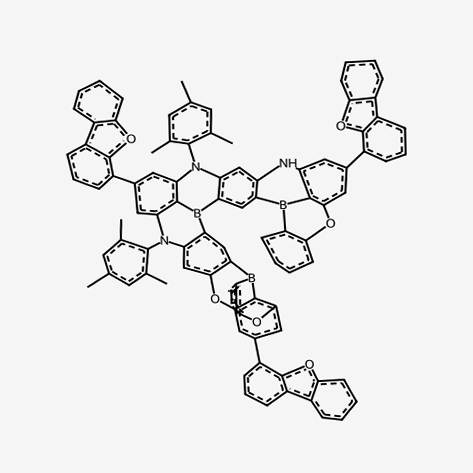 Cc1cc(C)c(N2c3cc4c(cc3B3c5cc6c(cc5N(c5c(C)cc(C)cc5C)c5cc(-c7cccc8c7oc7ccccc78)cc2c53)Oc2cc(-c3cccc5c3oc3ccccc35)cc3c2B6c2ccccc2O3)B2c3ccccc3Oc3cc(-c5cccc6c5oc5ccccc56)cc(c32)N4)c(C)c1